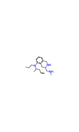 C=CCC(C)N(CCC)c1cccc2c1CC(CNC)NC2